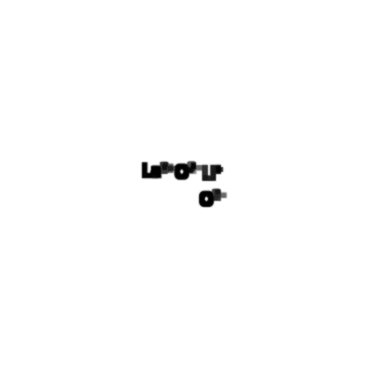 [La+3].[Li+].[O-2].[O-2]